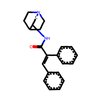 O=C(NC1CN2CCC1CC2)C(=Cc1ccccc1)c1ccccc1